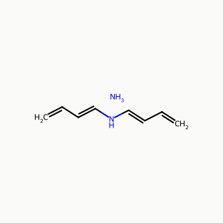 C=CC=CNC=CC=C.N